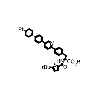 CC[C@H]1CC[C@H](c2ccc(-c3ccc(-c4ccc(C[C@H](NC(=O)c5ccc(C(C)(C)C)s5)C(=O)O)cc4)nc3)cc2)CC1